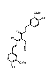 C#CC/C(C(=O)/C=C/c1ccc(O)c(OC)c1)=C(O)\C=C\c1ccc(O)c(OC)c1